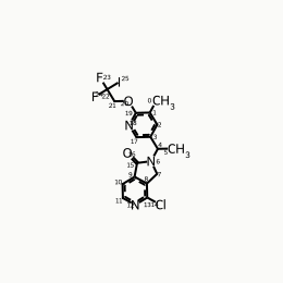 Cc1cc(C(C)N2Cc3c(ccnc3Cl)C2=O)cnc1OCC(F)(F)I